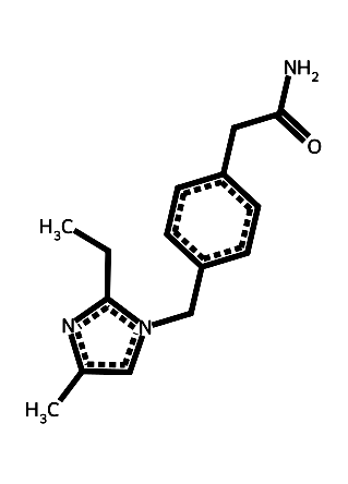 CCc1nc(C)cn1Cc1ccc(CC(N)=O)cc1